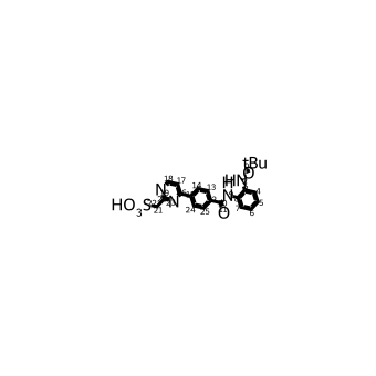 CC(C)(C)ONc1ccccc1NC(=O)c1ccc(-c2ccnc(CS(=O)(=O)O)n2)cc1